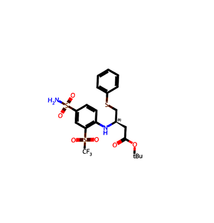 CC(C)(C)OC(=O)C[C@H](CSc1ccccc1)Nc1ccc(S(N)(=O)=O)cc1S(=O)(=O)C(F)(F)F